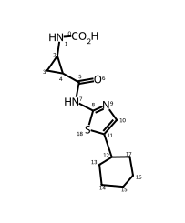 O=C(O)NC1CC1C(=O)Nc1ncc(C2CCCCC2)s1